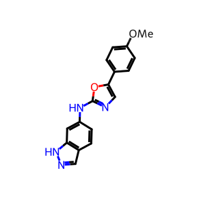 COc1ccc(-c2cnc(Nc3ccc4cn[nH]c4c3)o2)cc1